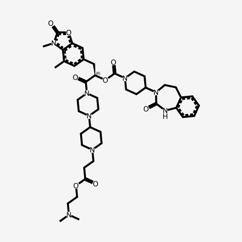 Cc1cc(C[C@@H](OC(=O)N2CCC(N3CCc4ccccc4NC3=O)CC2)C(=O)N2CCN(C3CCN(CCC(=O)OCCN(C)C)CC3)CC2)cc2oc(=O)n(C)c12